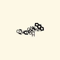 O=S(=O)(c1nnc(Nc2c3c(cc4c2CCC4)CCC3)[nH]1)N1CCC(N2CCOCC2)C1